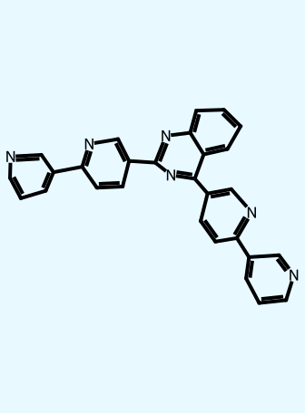 c1cncc(-c2ccc(-c3nc(-c4ccc(-c5cccnc5)nc4)c4ccccc4n3)cn2)c1